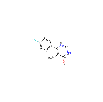 COc1c(-c2ccc(F)cc2)nc[nH]c1=O